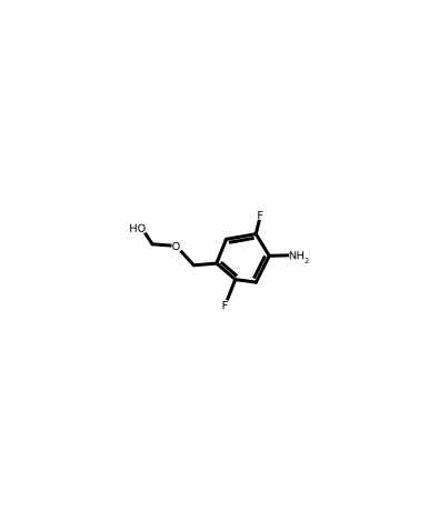 Nc1cc(F)c(COCO)cc1F